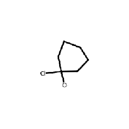 [O]C1(Cl)CCCCC1